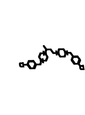 CC(CCN1CCN(Cc2ccc(Cl)cc2)CC1)N1CCN(Cc2ccc(Cl)cc2)CC1